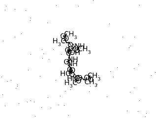 CC(=O)N[C@H](COCC[C@@H](C)OC(C)=O)COP(=O)(O)OCCNC(=O)NCCOP(=O)(O)OC[C@@H](COCC[C@@H](C)OC(C)=O)NC(C)=O